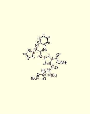 COC(=O)[C@@H]1C[C@@H](Oc2nc3ccccc3nc2-c2cccs2)CN1C(=O)[C@@H](NC(=O)OC(C)(C)C)C(C)(C)C